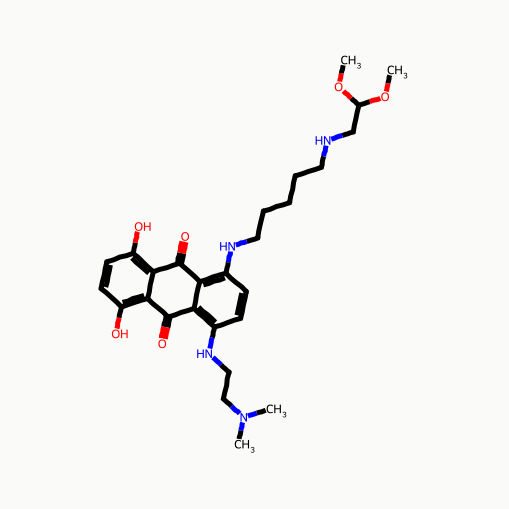 COC(CNCCCCCNc1ccc(NCCN(C)C)c2c1C(=O)c1c(O)ccc(O)c1C2=O)OC